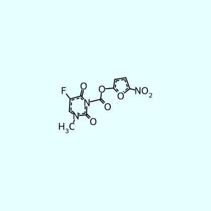 Cn1cc(F)c(=O)n(C(=O)Oc2ccc([N+](=O)[O-])o2)c1=O